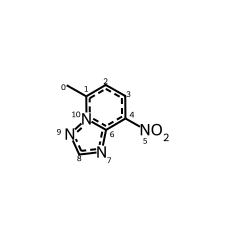 Cc1ccc([N+](=O)[O-])c2ncnn12